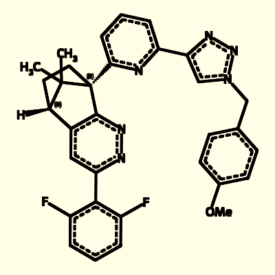 COc1ccc(Cn2cc(-c3cccc([C@]45CC[C@@H](c6cc(-c7c(F)cccc7F)nnc64)C5(C)C)n3)nn2)cc1